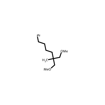 COCC(C)(CCCCC(C)C)COC